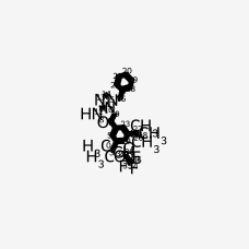 CC(C)(C)c1cc(C(=O)Cn2c(=N)ncn2Cc2ccccc2)cc(C(C)(C)C)c1OC(=O)C(F)(F)F